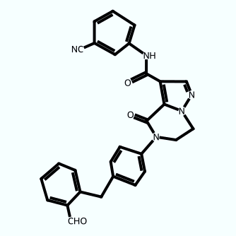 N#Cc1cccc(NC(=O)c2cnn3c2C(=O)N(c2ccc(Cc4ccccc4C=O)cc2)CC3)c1